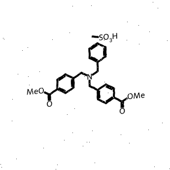 COC(=O)c1ccc(CN(Cc2ccccc2)Cc2ccc(C(=O)OC)cc2)cc1.CS(=O)(=O)O